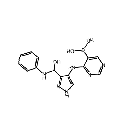 OB(O)c1cncnc1Nc1c[nH]nc1C(O)Nc1ccccc1